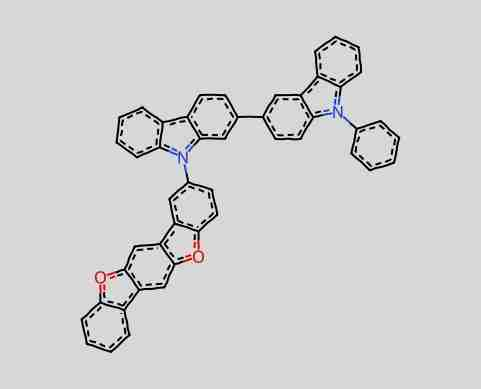 c1ccc(-n2c3ccccc3c3cc(-c4ccc5c6ccccc6n(-c6ccc7oc8cc9c(cc8c7c6)oc6ccccc69)c5c4)ccc32)cc1